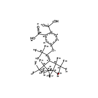 O=C(O)c1ccc(OC(=C(C(F)(C(F)(F)F)C(F)(F)F)C(F)(C(F)(F)F)C(F)(F)F)C(F)(F)F)cc1C(=O)O